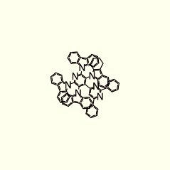 C1=Cc2c(c3ccccc3n2-c2c(-n3c4ccccc4c4ccccc43)nc(-n3c4ccccc4c4ccccc43)c(-n3c4ccccc4c4ccccc43)c2-c2cc(-c3ccccc3)nc(-c3ccccc3)n2)CC1